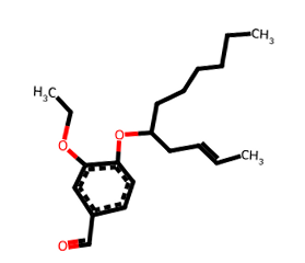 CC=CCC(CCCCCC)Oc1ccc(C=O)cc1OCC